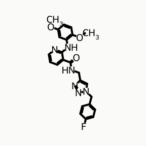 COc1ccc(OC)c(Nc2ncccc2C(=O)NCc2cn(Cc3ccc(F)cc3)nn2)c1